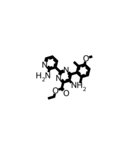 CCOC(=O)c1nc(-c2cccnc2N)nc(-c2c(C)ccc(OC)c2C)c1N